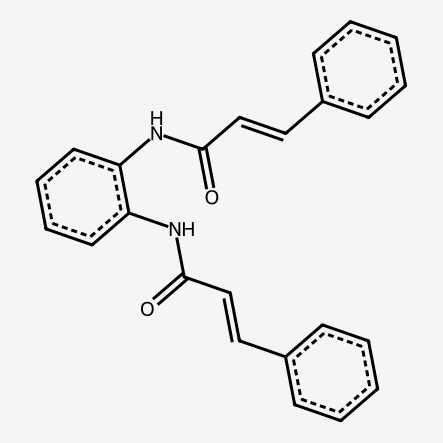 O=C(/C=C/c1ccccc1)Nc1ccccc1NC(=O)/C=C/c1ccccc1